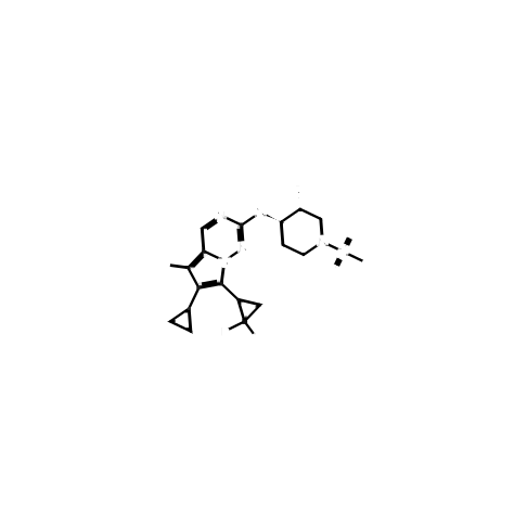 CS(=O)(=O)N1CC[C@@H](Nc2ncc3c(F)c(C4CC4)c(C4CC4(F)F)n3n2)[C@H](F)C1